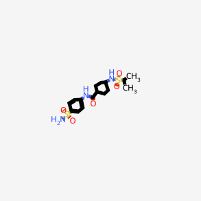 CC(C)S(=O)(=O)NC1CCC(C(=O)Nc2ccc(S(N)(=O)=O)cc2)CC1